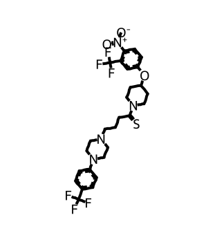 O=[N+]([O-])c1ccc(OC2CCN(C(=S)CCCN3CCN(c4ccc(C(F)(F)F)cc4)CC3)CC2)cc1C(F)(F)F